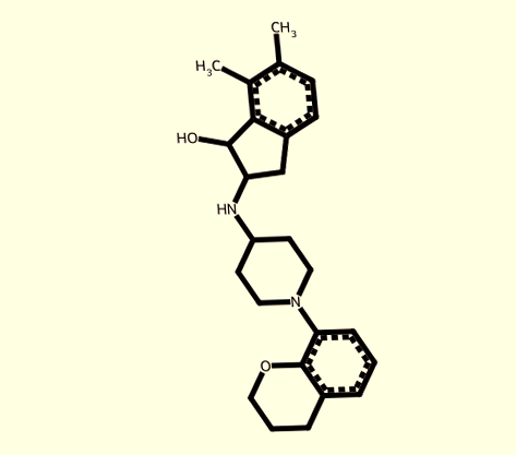 Cc1ccc2c(c1C)C(O)C(NC1CCN(c3cccc4c3OCCC4)CC1)C2